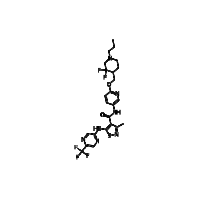 CCCN1CCC(COc2ccc(NC(=O)c3c(C)nsc3Nc3cnc(C(F)(F)F)cn3)cn2)C(F)(F)C1